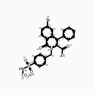 CCC(=O)c1c(-c2ccccc2)c2cc(Br)ccc2c(=O)n1Cc1ccc(S(=O)(=O)NC(=O)O)cc1